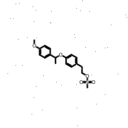 COc1ccc(C(C)Oc2ccc(CCOS(C)(=O)=O)cc2)cc1